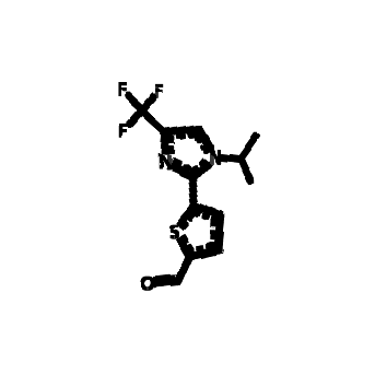 CC(C)n1cc(C(F)(F)F)nc1-c1ccc(C=O)s1